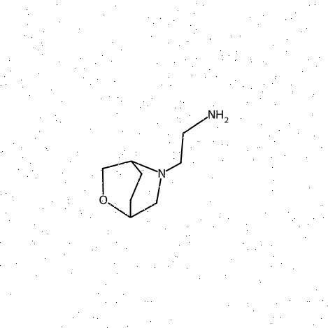 NCCN1CC2CCC1CO2